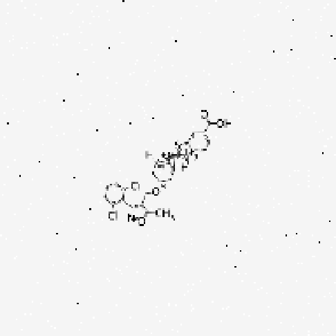 Cc1onc(-c2c(Cl)cccc2Cl)c1CO[C@@H]1C[C@H]2C[C@H](C)[C@@H](C1)[C@]2(O)c1nc2ccc(C(=O)O)cc2s1